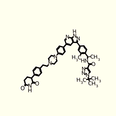 Cc1cc(-c2n[nH]c3ncc(-c4ccc(N5CCN(CCc6ccc(C7CCC(=O)NC7=O)cc6)CC5)cc4)cc23)ccc1[C@@H](C)NC(=O)c1cn(C(C)(C)C)nn1